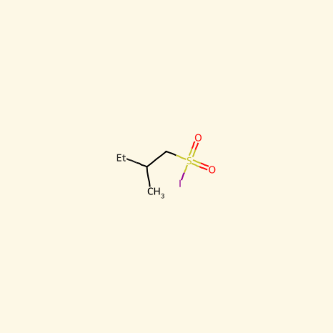 CCC(C)CS(=O)(=O)I